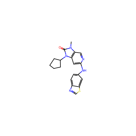 Cn1c(=O)n(C2CCCC2)c2cc(Nc3ccc4ncsc4c3)ncc21